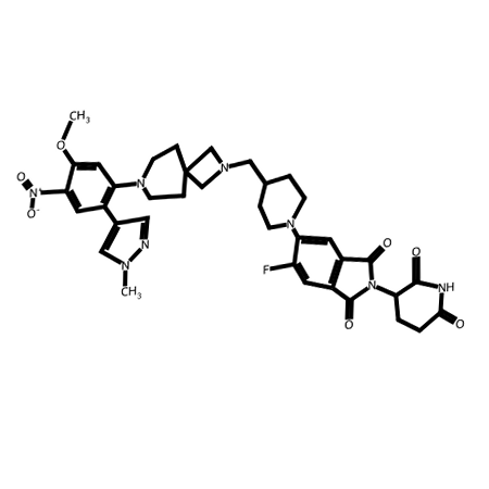 COc1cc(N2CCC3(CC2)CN(CC2CCN(c4cc5c(cc4F)C(=O)N(C4CCC(=O)NC4=O)C5=O)CC2)C3)c(-c2cnn(C)c2)cc1[N+](=O)[O-]